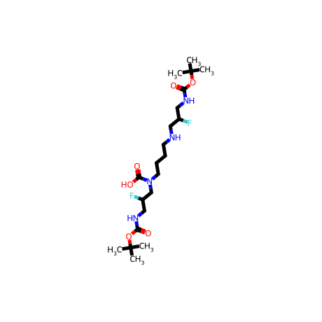 CC(C)(C)OC(=O)NCC(F)CNCCCCN(CC(F)CNC(=O)OC(C)(C)C)C(=O)O